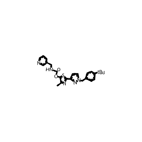 Cc1nc(-c2ccn(Cc3ccc(C(C)(C)C)cc3)n2)sc1OC(=O)NCc1cccnc1